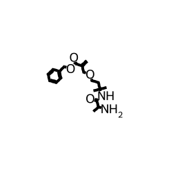 C=C(COCCC(C)(C)NC(=O)C(C)N)C(=O)OCc1ccccc1